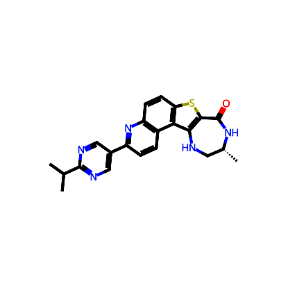 CC(C)c1ncc(-c2ccc3c(ccc4sc5c(c43)NC[C@@H](C)NC5=O)n2)cn1